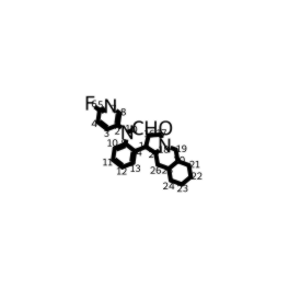 O=CN(c1ccc(F)nc1)c1ccccc1C1CCN2CC3CCCCC3CC12